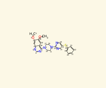 COc1cc2ncnc(N3CCN(c4ncc(Sc5ccccc5)cn4)CC3)c2cc1OC